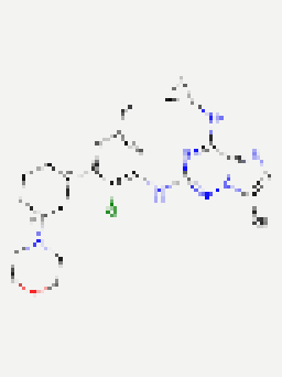 N#Cc1cc(Nc2nc(NC3CC3)c3ncc(C#N)n3n2)c(Cl)c([C@H]2CCC[C@H](N3CCOCC3)C2)c1